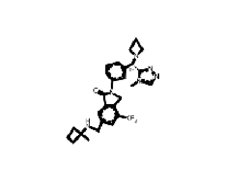 Cn1cnnc1[C@H](c1cccc(N2Cc3c(cc(CNC4(C)CCC4)cc3C(F)(F)F)C2=O)c1)N1CCC1